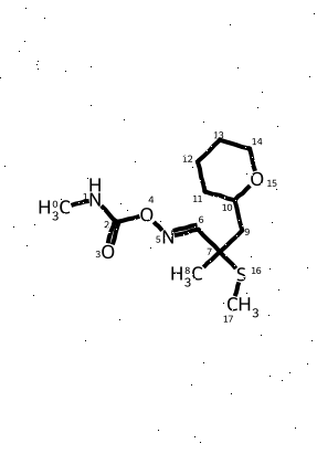 CNC(=O)ON=CC(C)(CC1CCCCO1)SC